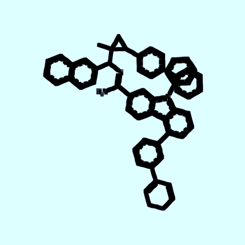 CC1(C(/N=C(\N)c2ccc3c4c(-c5cccc(C6=CCCC=C6)c5)cccc4n(-c4ccccc4)c3c2)c2ccc3ccccc3c2)CC1c1ccc(-c2ccccc2)cc1